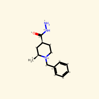 C[C@H]1C[C@@H](C(=O)NN)CCN1Cc1ccccc1